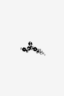 CCNC(=O)Nc1ccc(-c2nc3c(c(N4CCOCC4)n2)CCN(C(=O)c2ccc(F)cc2)C3)cc1